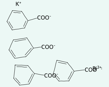 O=C([O-])c1ccccc1.O=C([O-])c1ccccc1.O=C([O-])c1ccccc1.O=C([O-])c1ccccc1.[Bi+3].[K+]